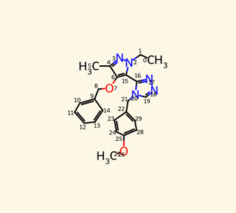 CCn1nc(C)c(OCc2ccccc2)c1-c1nncn1Cc1ccc(OC)cc1